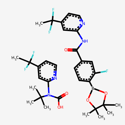 CC(F)(F)c1ccnc(N(C(=O)O)C(C)(C)C)c1.CC(F)(F)c1ccnc(NC(=O)c2ccc(B3OC(C)(C)C(C)(C)O3)c(F)c2)c1